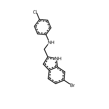 Clc1ccc(NCc2cc3ccc(Br)cc3[nH]2)cc1